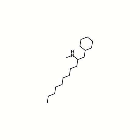 CCCCCCCCCC(CC1CCCCC1)NC